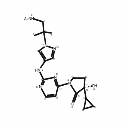 CC(=O)NCC(C)(C)n1cc(Nc2nccc(N3CC[C@@](C#N)(C4CC4)C3=O)n2)cn1